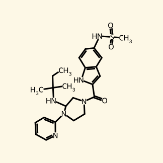 CCC(C)(C)NC1CN(C(=O)c2cc3cc(NS(C)(=O)=O)ccc3[nH]2)CCN1c1ccccn1